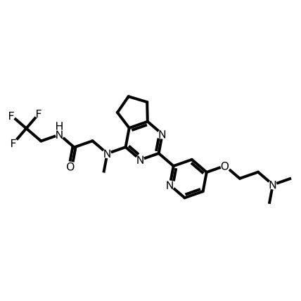 CN(C)CCOc1ccnc(-c2nc3c(c(N(C)CC(=O)NCC(F)(F)F)n2)CCC3)c1